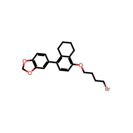 BrCCCCOc1ccc(-c2ccc3c(c2)OCO3)c2c1CCCC2